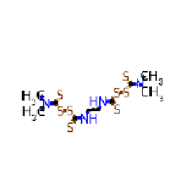 CN(C)C(=S)SSC(=S)NCCNC(=S)SSC(=S)N(C)C